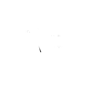 COc1ccccc1[C@H]1CNC(=O)[C@@H]1C(=O)O